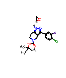 CC(C)(C)OC(=O)N1CCc2c(c(-c3ccc(Cl)c(I)c3)nn2C[C@@H]2CO2)C1